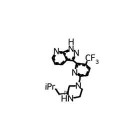 CC(C)C[C@H]1CN(c2ccc(C(F)(F)F)c(-c3n[nH]c4ncccc34)n2)CCN1